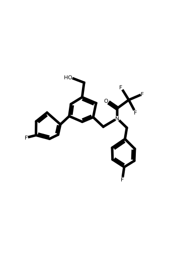 O=C(N(Cc1ccc(F)cc1)Cc1cc(CO)cc(-c2ccc(F)cc2)c1)C(F)(F)F